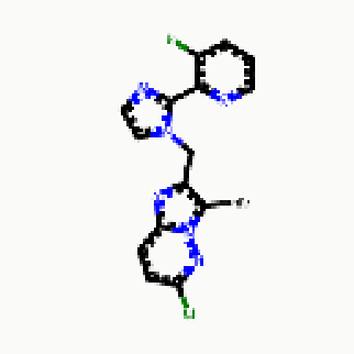 CCCc1c(Cn2ccnc2-c2ncccc2F)nc2ccc(Cl)nn12